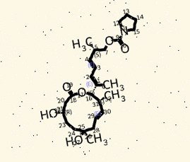 C/C(=C\C=C\[C@H](C)COC(=O)N1CCCC1)[C@H]1OC(=O)C[C@H](O)CC[C@@](C)(O)C/C=C/[C@@H]1C